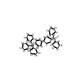 C[N+](c1ccccc1)(c1ccccc1)c1ccccc1.c1ccc([B-](c2ccccc2)(c2ccccc2)c2ccccc2)cc1